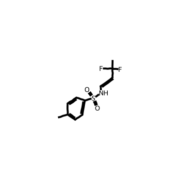 Cc1ccc(S(=O)(=O)NC=CC(C)(F)F)cc1